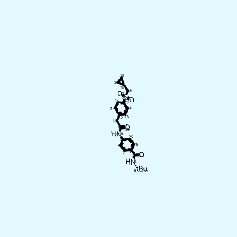 CC(C)(C)NC(=O)c1ccc(NC(=O)Cc2ccc(S(=O)(=O)CC3CC3)cc2)cc1